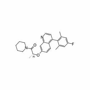 Cc1cc(F)cc(C)c1-c1ccnc2cc(O[C@H](C)C(=O)N3CCCCC3)ccc12